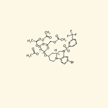 CC(=O)OC[C@H]1O[C@@H](OC2CCN3c4ccc(Br)cc4N(S(=O)(=O)c4cccc(C(F)(F)F)c4)C[C@@H]3C2)[C@H](OC(C)=O)[C@@H](OC(C)=O)[C@@H]1OC(C)=O